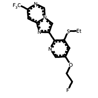 CCSc1cc(OCCF)cnc1-c1cn2cnc(C(F)(F)F)cc2n1